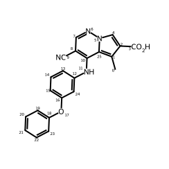 Cc1c(C(=O)O)cn2ncc(C#N)c(Nc3cccc(Oc4ccccc4)c3)c12